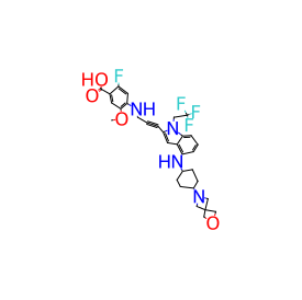 COc1cc(C(=O)O)c(F)cc1NCC#Cc1cc2c(NC3CCC(N4CC5(COC5)C4)CC3)cccc2n1CC(F)(F)F